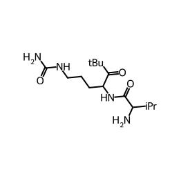 CC(C)C(N)C(=O)NC(CCCNC(N)=O)C(=O)C(C)(C)C